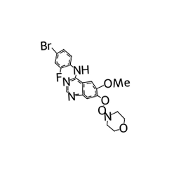 COc1cc2c(Nc3ccc(Br)cc3F)ncnc2cc1OON1CCOCC1